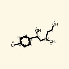 CN(CCO)C[C@H](O)c1ccc(Cl)cc1